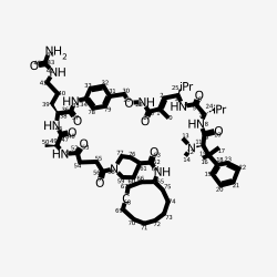 C/C(=C\[C@@H](NC(=O)[C@@H](NC(=O)[C@@H](N(C)C)C(C)(C)c1ccccc1)C(C)C)C(C)C)C(=O)NOCc1ccc(NC(=O)[C@H](CCCNC(N)=O)NC(=O)[C@H](C)NC(=O)CCC(=O)N2CCC(C(=O)NC3CCCCCCCCCC3)CC2)cc1